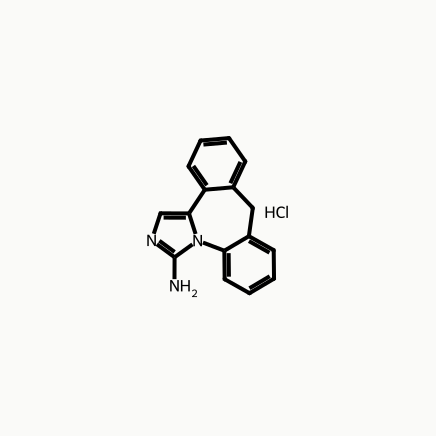 Cl.Nc1ncc2n1-c1ccccc1Cc1ccccc1-2